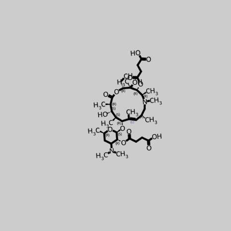 CC[C@H]1OC(=O)[C@H](C)[C@@H](O)[C@H](C)[C@@H](O[C@@H]2O[C@H](C)CC(N(C)C)[C@H]2OC(=O)CCC(=O)O)/C(C)=C/[C@@H](C)CN(C)[C@H](C)[C@@H](OC(=O)CCC(=O)O)[C@]1(C)O